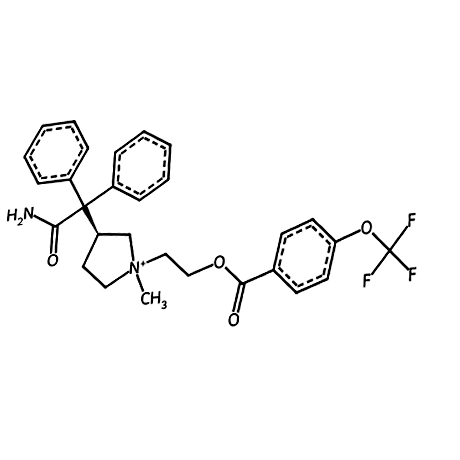 C[N+]1(CCOC(=O)c2ccc(OC(F)(F)F)cc2)CC[C@@H](C(C(N)=O)(c2ccccc2)c2ccccc2)C1